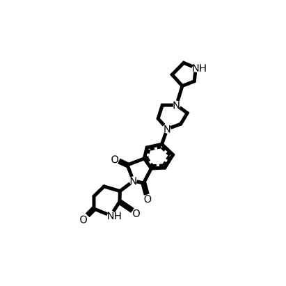 O=C1CCC(N2C(=O)c3ccc(N4CCN(C5CCNC5)CC4)cc3C2=O)C(=O)N1